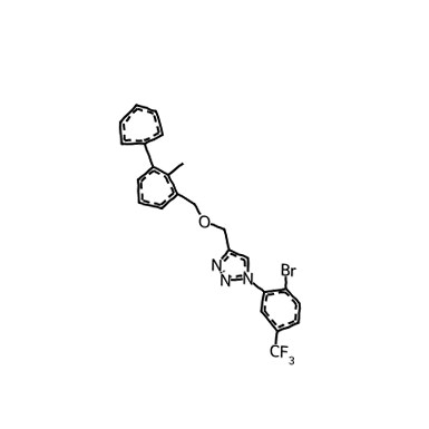 Cc1c(COCc2cn(-c3cc(C(F)(F)F)ccc3Br)nn2)cccc1-c1ccccc1